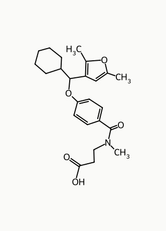 Cc1cc(C(Oc2ccc(C(=O)N(C)CCC(=O)O)cc2)C2CCCCC2)c(C)o1